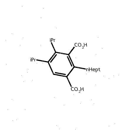 CCCCCCCc1c(C(=O)O)cc(C(C)C)c(C(C)C)c1C(=O)O